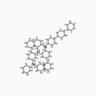 c1ccc(-c2ccc(-c3ccc(N(c4ccc(-c5ccccc5)cc4)c4ccc5cccc6c5c4Oc4cc(N(c5ccccc5)c5ccccc5)ccc4-6)cc3)cc2)cc1